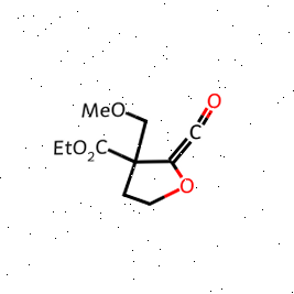 CCOC(=O)C1(COC)CCOC1=C=O